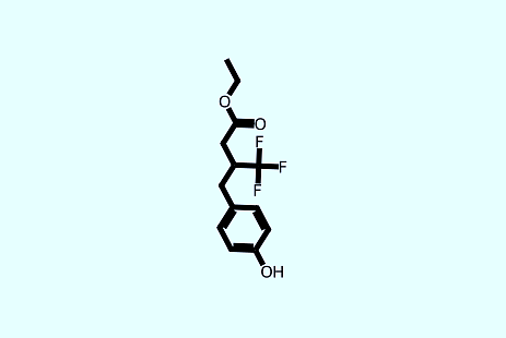 CCOC(=O)CC(Cc1ccc(O)cc1)C(F)(F)F